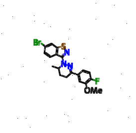 COc1cc(C2=NN(c3nsc4cc(Br)ccc34)C(C)CC2)ccc1F